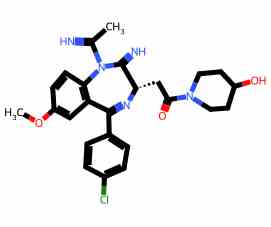 COc1ccc2c(c1)C(c1ccc(Cl)cc1)=N[C@@H](CC(=O)N1CCC(O)CC1)C(=N)N2C(C)=N